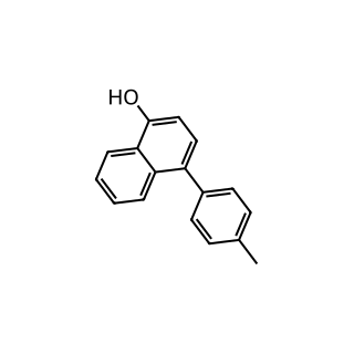 Cc1ccc(-c2ccc(O)c3ccccc23)cc1